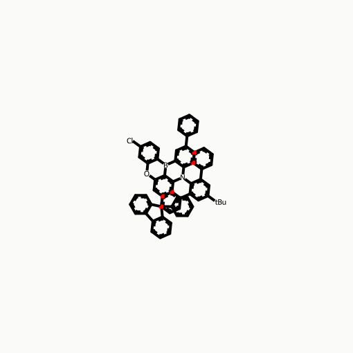 CC(C)(C)c1cc(-c2ccccc2)c(N2c3ccc(-c4ccccc4)cc3B3c4ccc(Cl)cc4Oc4cc(C5(c6ccccc6)c6ccccc6-c6ccccc65)cc2c43)c(-c2ccccc2)c1